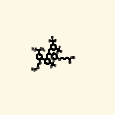 COCOc1ccc(C(C)C)cc1-c1ccc(C(F)(F)F)cc1CN(Cc1cc(C(F)(F)F)cc(C(F)(F)F)c1)c1ncc(OCCCC(=O)O)cn1